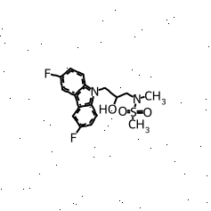 CN(CC(O)Cn1c2ccc(F)cc2c2cc(F)ccc21)S(C)(=O)=O